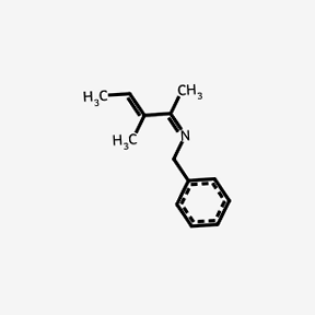 C/C=C(\C)C(C)=NCc1ccccc1